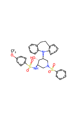 O=S(=O)(N[C@@H]1CN(S(=O)(=O)c2ccccc2)C[C@H](N2c3ccccc3CCc3ccccc32)[C@H]1O)c1ccc(OC(F)(F)F)cc1